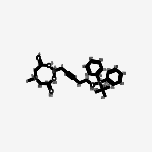 CN1CC(=O)OB(CC#CCCO[Si](c2ccccc2)(c2ccccc2)C(C)(C)C)OC(=O)C1